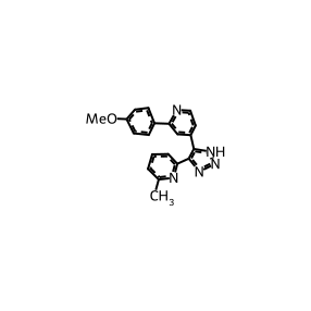 COc1ccc(-c2cc(-c3[nH]nnc3-c3cccc(C)n3)ccn2)cc1